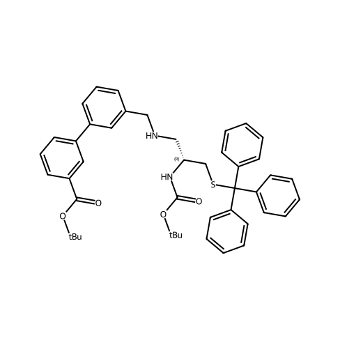 CC(C)(C)OC(=O)N[C@H](CNCc1cccc(-c2cccc(C(=O)OC(C)(C)C)c2)c1)CSC(c1ccccc1)(c1ccccc1)c1ccccc1